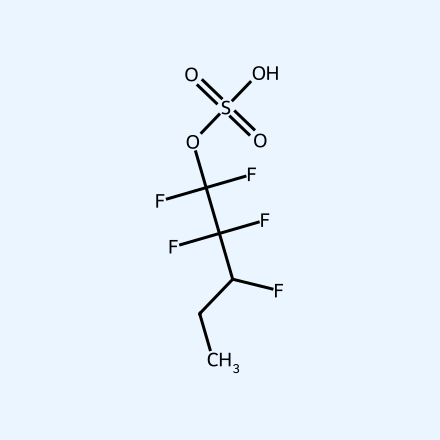 CCC(F)C(F)(F)C(F)(F)OS(=O)(=O)O